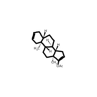 CC(=O)OC1=CC[C@H]2[C@@H]3CC[C@H]4CC=CC[C@]4(C)[C@H]3CC[C@]12C